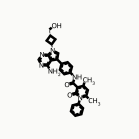 Cc1cc(C)n(-c2ccccc2)c(=O)c1C(=O)Nc1ccc(-c2cn([C@H]3C[C@@H](CO)C3)c3ncnc(N)c23)cc1